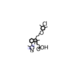 C=N/C=C(C)\C(=C/C)c1cccc2c(CCCOc3cc(C)c(Cl)c(C)c3)c(C)n(CCC(=O)O)c12